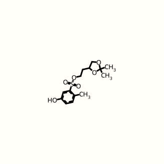 Cc1ccc(O)cc1S(=O)(=O)OCCC1COC(C)(C)O1